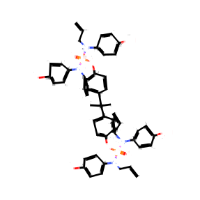 C=CCN(c1ccc(O)cc1)P(=O)(Oc1ccc(C(C)(C)c2ccc(OP(=O)(N(CC=C)c3ccc(O)cc3)N(CC=C)c3ccc(O)cc3)cc2)cc1)N(CC=C)c1ccc(O)cc1